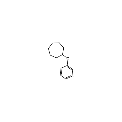 [c]1cccc(OC2CCCCCC2)c1